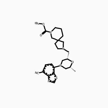 C[C@@H]1CN(c2ccc(C#N)c3ncsc23)C[C@H](CN2CCC3(CCCN(C(=O)OC(C)(C)C)C3)C2)O1